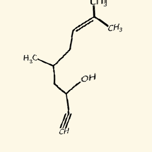 C#CC(O)CC(C)CC=C(C)C